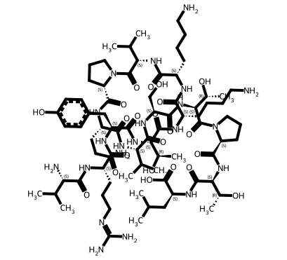 CC(C)C[C@H](NC(=O)[C@@H](NC(=O)[C@@H]1CCCN1C(=O)[C@@H](NC(=O)[C@H](CO)NC(=O)[C@@H](NC(=O)[C@H](CCC(N)=O)NC(=O)[C@@H]1CCCN1C(=O)[C@@H](NC(=O)[C@H](CCCCN)NC(=O)[C@H](CCCCN)NC(=O)[C@@H](NC(=O)[C@H](Cc1ccc(O)cc1)NC(=O)[C@H](CCCN=C(N)N)NC(=O)[C@@H](N)C(C)C)[C@@H](C)O)C(C)C)C(C)C)[C@@H](C)O)[C@@H](C)O)C(=O)O